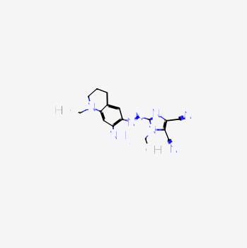 CCN1CCCc2cc(N=Nc3nc(C#N)c(C#N)n3CC)c(N)cc21